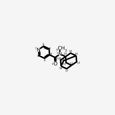 CN(C(=O)c1ccncc1)C12CC3CC(CC(C3)C1)C2